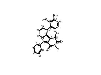 Cn1c(=O)c2c(-c3ccccc3)n3c(c2n(C)c1=O)C(c1cccc(F)c1F)CCC3